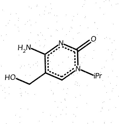 CC(C)n1cc(CO)c(N)nc1=O